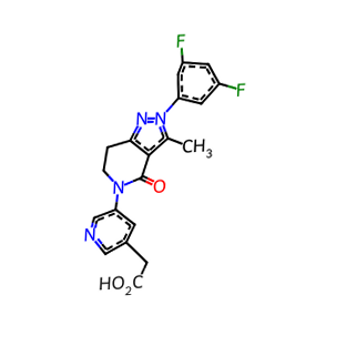 Cc1c2c(nn1-c1cc(F)cc(F)c1)CCN(c1cncc(CC(=O)O)c1)C2=O